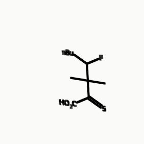 CCCCC(F)C(C)(C)C(=S)C(=O)O